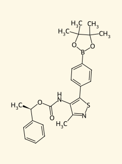 Cc1nsc(-c2ccc(B3OC(C)(C)C(C)(C)O3)cc2)c1NC(=O)O[C@H](C)c1ccccc1